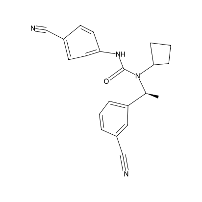 C[C@@H](c1cccc(C#N)c1)N(C(=O)Nc1ccc(C#N)cc1)C1CCC1